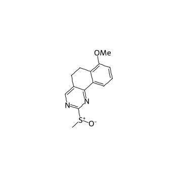 COc1cccc2c1CCc1cnc([S+](C)[O-])nc1-2